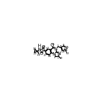 CC1CN2C(=N1)N(Cc1cnn(C)c1)C(=O)c1cc(S(=O)(=O)NC3(C)CC3)ccc12